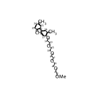 COCCOCCOCCOCCOCCOc1ccc(-c2cc(C)ccc2C)cc1C